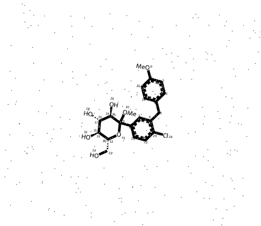 COc1ccc(Cc2cc(C3(OC)O[C@H](CO)[C@@H](O)[C@H](O)[C@H]3O)ccc2Cl)cc1